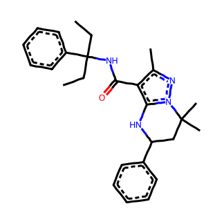 CCC(CC)(NC(=O)c1c(C)nn2c1NC(c1ccccc1)CC2(C)C)c1ccccc1